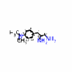 CN(C)c1ccc(CC(N)CN)cc1